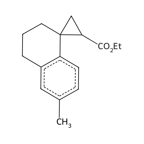 CCOC(=O)C1CC12CCCc1cc(C)ccc12